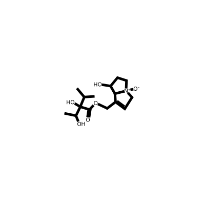 CC(C)C(O)(C(=O)OCC1=CC[N+]2([O-])CCC(O)C12)C(C)O